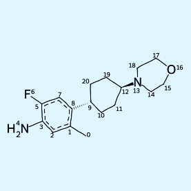 Cc1cc(N)c(F)cc1[C@H]1CC[C@H](N2CCOCC2)CC1